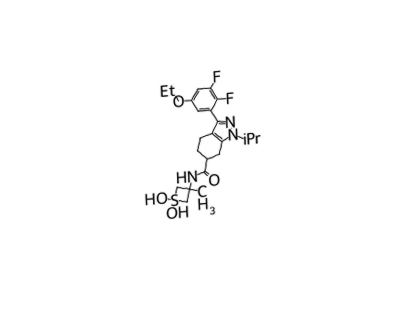 CCOc1cc(F)c(F)c(-c2nn(C(C)C)c3c2CCC(C(=O)NC2(C)CS(O)(O)C2)C3)c1